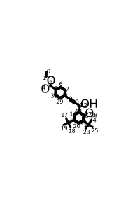 CCOC(=O)c1ccc(C#CC(O)c2cc(C(C)(C)C)cc(C(C)(C)C)c2OC)cc1